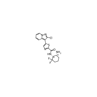 N[C@@H]1CCCC(F)(F)[C@@H]1NC(=O)c1ncc(-c2c(Cl)nn3ccccc23)s1